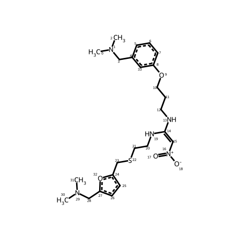 CN(C)Cc1cccc(OCCCNC(=C[N+](=O)[O-])NCCSCc2ccc(CN(C)C)o2)c1